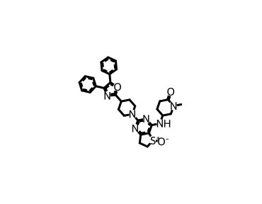 CN1CC(Nc2nc(N3CCC(c4nc(-c5ccccc5)c(-c5ccccc5)o4)CC3)nc3c2[S+]([O-])CC3)CCC1=O